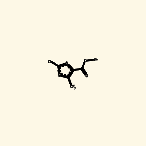 CC(C)OC(=O)c1sc(Cl)nc1C(F)(F)F